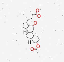 COC(=O)CC[C@@H](C)C1CCC2[C@@H]3CC[C@@H]4C[C@H](OC(C)=O)CC[C@]4(C)C3CC(=O)[C@@]21C